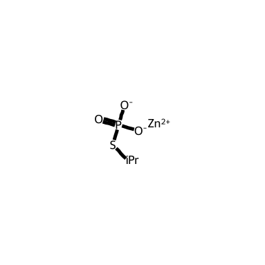 CC(C)SP(=O)([O-])[O-].[Zn+2]